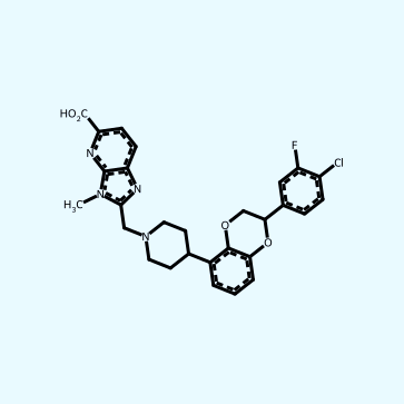 Cn1c(CN2CCC(c3cccc4c3OCC(c3ccc(Cl)c(F)c3)O4)CC2)nc2ccc(C(=O)O)nc21